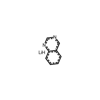 [LiH].c1ccc2ncncc2c1